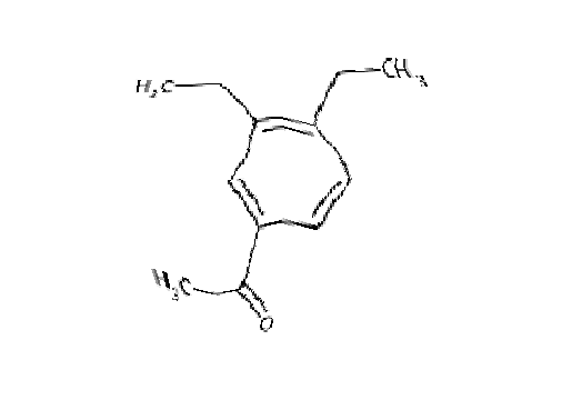 CCc1ccc(C(C)=O)cc1CC